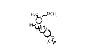 COCCN1CCN(C(=N)/C=C(\N)CC2=C(N)C=CC(OC3(C)CC3)=C=C2)C[C@H]1C